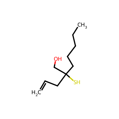 C=CCC(S)(CO)CCCCC